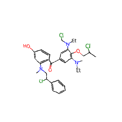 CCN(C)c1cc(C(=O)c2ccc(O)cc2N(C)CC(Cl)c2ccccc2)cc(N(CC)CCl)c1OCC(C)Cl